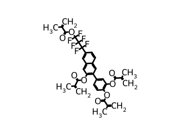 C=C(C)C(=O)Oc1ccc(-c2cc3ccc(C(F)(F)C(F)(F)C(F)(F)OC(=O)C(=C)C)cc3cc2OC(=O)C(=C)C)cc1OC(=O)C(=C)C